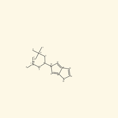 C[SiH](C)OC(CC(C)(C)C)n1cc2ccsc2c1